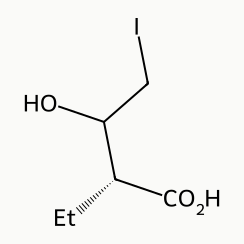 CC[C@@H](C(=O)O)C(O)CI